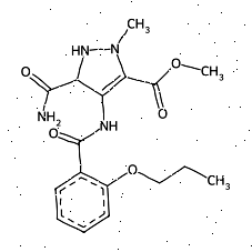 CCCOc1ccccc1C(=O)NC1=C(C(=O)OC)N(C)NC1C(N)=O